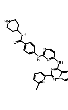 Cc1cccc(-c2nc(Nc3ccnc(Nc4ccc(C(=O)NC5CCNCC5)cc4)n3)c3cccn3n2)n1